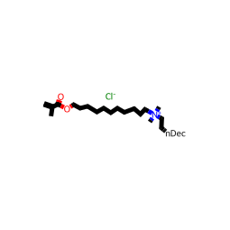 C=C(C)C(=O)OCCCCCCCCCCC[N+](C)(C)CCCCCCCCCCCC.[Cl-]